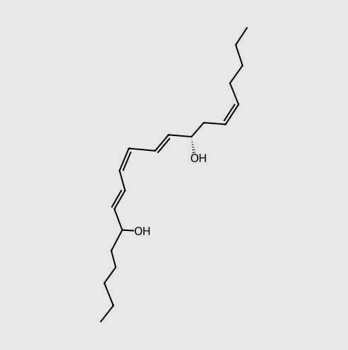 CCCC/C=C\C[C@H](O)/C=C/C=C\C=C\C(O)CCCCC